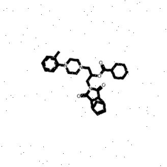 Cc1ccccc1N1CCN(CC(CN2C(=O)C3C4C=CC(C4)C3C2=O)OC(=O)C2CCCCC2)CC1